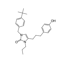 CCCn1c(CCCc2ccc(O)cc2)cn(Cc2ccc(C(C)(C)C)cc2)c1=O